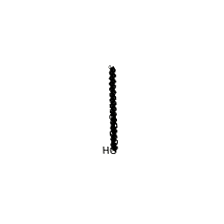 CCCCCCCCCCCCCCCCCCOCCOCCOCCOCCO